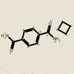 C1CCC1.NC(=O)c1ccc(C(N)=O)cc1